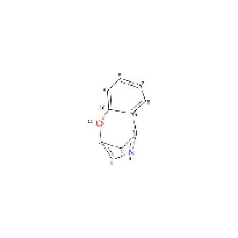 C1=C2CC(=N1)c1ccccc1O2